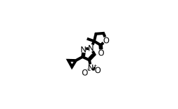 CC1(n2cc([N+](=O)[O-])c(C3CC3)n2)CCOC1=O